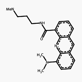 CNCCCNC(=O)c1cccc2cc3cccc(N(C)C)c3nc12